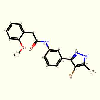 COc1ccccc1CC(=O)Nc1cccc(-c2n[nH]c(C)c2Br)c1